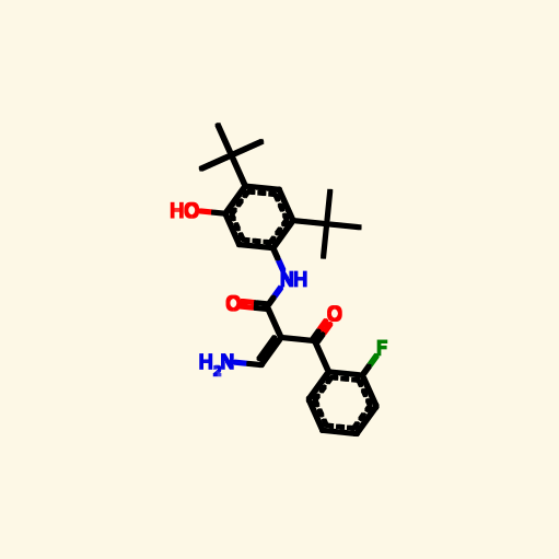 CC(C)(C)c1cc(C(C)(C)C)c(NC(=O)/C(=C\N)C(=O)c2ccccc2F)cc1O